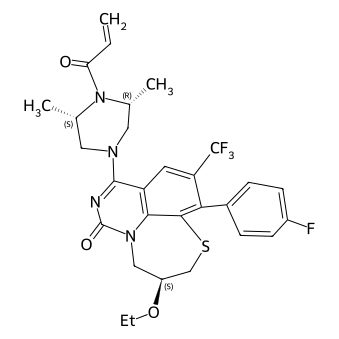 C=CC(=O)N1[C@H](C)CN(c2nc(=O)n3c4c(c(-c5ccc(F)cc5)c(C(F)(F)F)cc24)SC[C@@H](OCC)C3)C[C@@H]1C